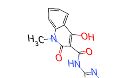 Cn1c(=O)c(C(=O)Nc2nccs2)c(O)c2ccccc21